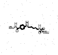 CCC(C)NC(=O)c1ccc(NCCCCCNS(=O)(=O)C(C)(C)C)cc1